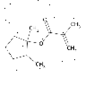 C=C(C)C(=O)OC1(C)CCCC1C